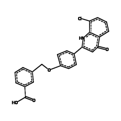 O=C(O)c1cccc(COc2ccc(-c3cc(=O)c4cccc(Cl)c4[nH]3)cc2)c1